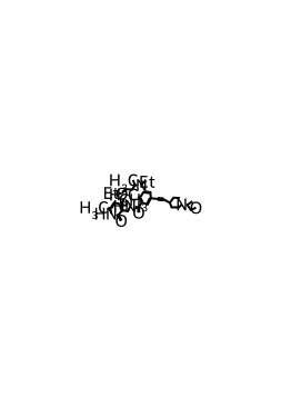 CCOCCC(C)N(CC)c1cc(C#CC2CCN(C3COC3)CC2)cc(C(=O)NCc2c(C)cc(C)[nH]c2=O)c1C